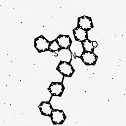 c1ccc2c(-c3ccc(-c4ccc(N(c5cccc6c5sc5ccccc56)c5cccc6oc7c8ccccc8ccc7c56)cc4)cc3)cccc2c1